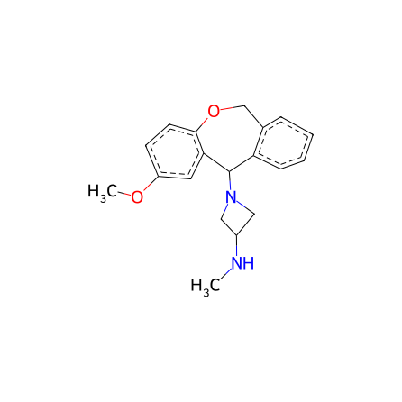 CNC1CN(C2c3ccccc3COc3ccc(OC)cc32)C1